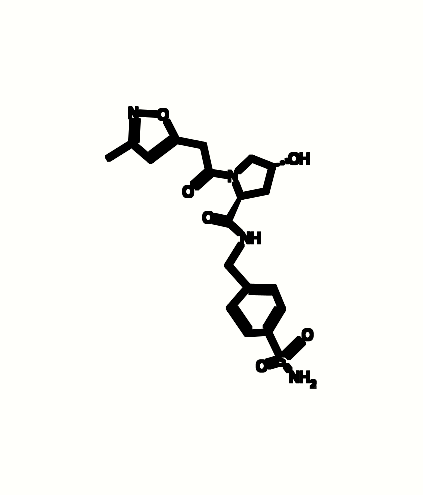 Cc1cc(CC(=O)N2C[C@H](O)C[C@H]2C(=O)NCc2ccc(S(N)(=O)=O)cc2)on1